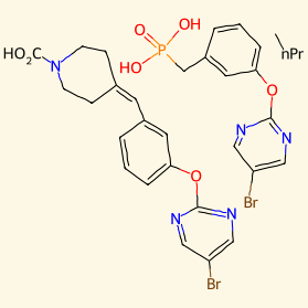 CCCC.O=C(O)N1CCC(=Cc2cccc(Oc3ncc(Br)cn3)c2)CC1.O=P(O)(O)Cc1cccc(Oc2ncc(Br)cn2)c1